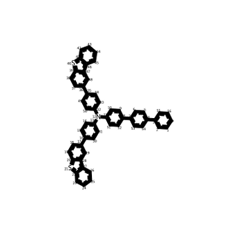 c1ccc(-c2ccc(-c3ccc(N(c4ccc(-c5ccc6sc7ccccc7c6c5)cc4)c4ccc(-c5ccc6sc7ccccc7c6c5)cc4)cc3)cc2)cc1